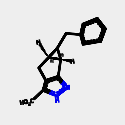 O=C(O)c1[nH]nc2c1C[C@H]1C(Cc3ccccc3)[C@@H]21